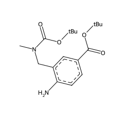 CN(Cc1cc(C(=O)OC(C)(C)C)ccc1N)C(=O)OC(C)(C)C